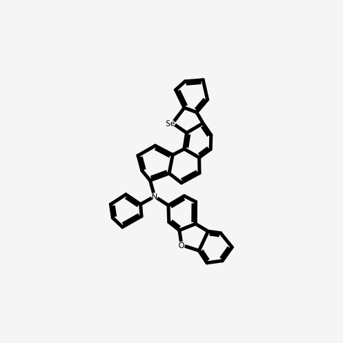 c1ccc(N(c2ccc3c(c2)oc2ccccc23)c2cccc3c2ccc2ccc4c5ccccc5[se]c4c23)cc1